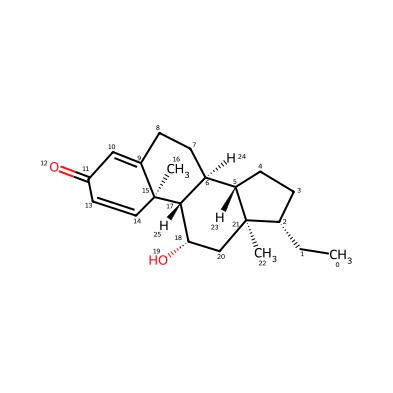 CC[C@H]1CC[C@H]2[C@@H]3CCC4=CC(=O)C=C[C@]4(C)[C@H]3[C@@H](O)C[C@]12C